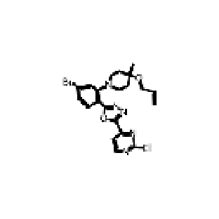 C=CCOC1(C)CCN(c2cc(Br)ccc2-c2nnc(-c3ccnc(Cl)n3)o2)CC1